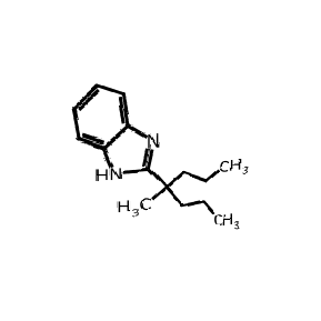 CCCC(C)(CCC)c1nc2ccccc2[nH]1